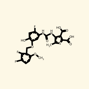 COc1ccc(F)c(F)c1COc1cc(NC(=O)Nc2c(C)sc(C(=O)O)c2C(=O)O)c(F)cc1O